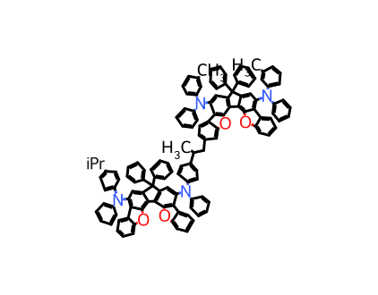 Cc1cccc(N(c2ccccc2)c2cc3c(c4oc5ccccc5c24)-c2c(cc(N(c4ccccc4)c4cccc(C)c4)c4c2oc2cc(CC(C)c5ccc(N(c6ccccc6)c6cc7c(c8oc9ccccc9c68)-c6c(cc(N(c8ccccc8)c8ccc(C(C)C)cc8)c8c6oc6ccccc68)C7(c6ccccc6)c6ccccc6)cc5)ccc24)C3(c2ccccc2)c2ccccc2)c1